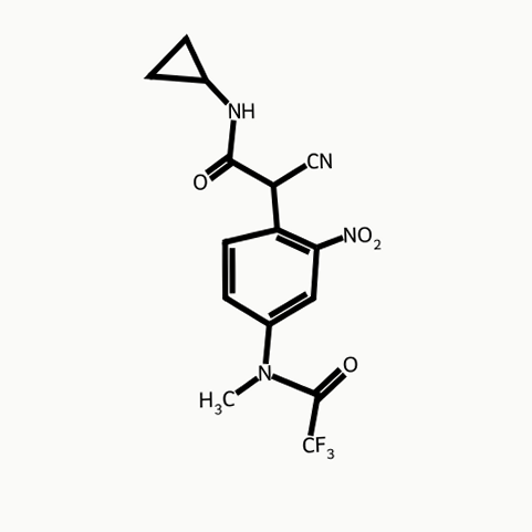 CN(C(=O)C(F)(F)F)c1ccc(C(C#N)C(=O)NC2CC2)c([N+](=O)[O-])c1